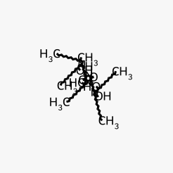 CCCCCCCCCCC(C)CN(CCCCC1NC(=O)C(CCCCN(CC(O)CCCCCCCCCC)CC(O)CCCCCCCCCC)N(CC(O)CCCCCCCCCC)C1=O)CC(O)CCCCCCCCCC